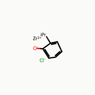 CC(C)c1ccccc1[O-].[Cl-].[Zr+2]